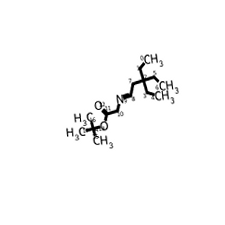 CCC(CC)(CC)C/C=N/CC(=O)OC(C)(C)C